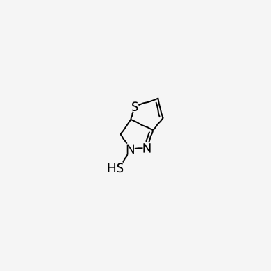 SN1CC2SC=CC2=N1